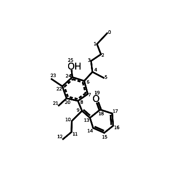 CCCCC(C)c1cc(C(CCC)=C2C=CC=CC2=O)c(C)c(C)c1O